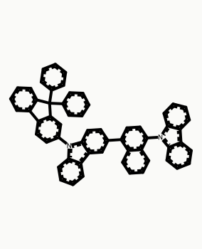 c1ccc(C2(c3ccccc3)c3ccccc3-c3ccc(-n4c5ccccc5c5cc(-c6ccc(-n7c8ccccc8c8ccccc87)c7ccccc67)ccc54)cc32)cc1